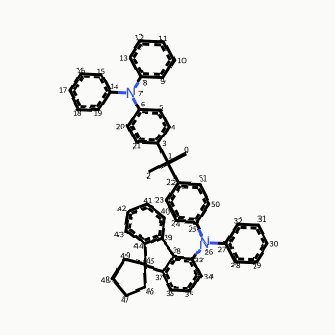 CC(C)(c1ccc(N(c2ccccc2)c2ccccc2)cc1)c1ccc(N(c2ccccc2)c2cccc3c2-c2ccccc2C32CCCC2)cc1